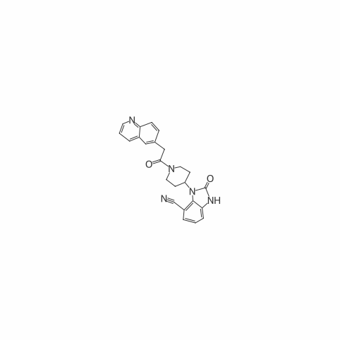 N#Cc1cccc2[nH]c(=O)n(C3CCN(C(=O)Cc4ccc5ncccc5c4)CC3)c12